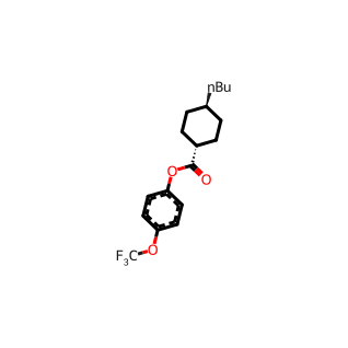 CCCC[C@H]1CC[C@H](C(=O)Oc2ccc(OC(F)(F)F)cc2)CC1